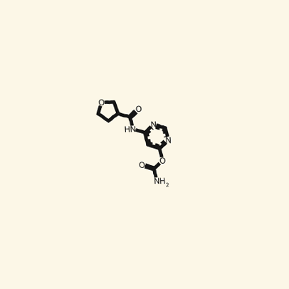 NC(=O)Oc1cc(NC(=O)C2CCOC2)ncn1